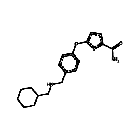 NC(=O)c1ccc(Oc2ccc(CNCC3CCCCC3)cc2)s1